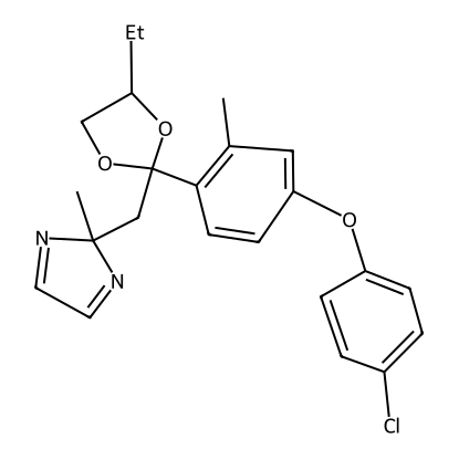 CCC1COC(CC2(C)N=CC=N2)(c2ccc(Oc3ccc(Cl)cc3)cc2C)O1